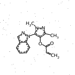 C=CC(=O)Oc1c(C)nn(C)c1-n1ncc2ccccc21